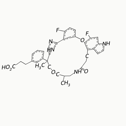 CC1CNC(=O)CCc2c(c(F)cc3[nH]ccc23)Oc2ccc(F)c(c2)-c2ncc([nH]2)C(C)(c2cccc(CCC(=O)O)c2)COC1